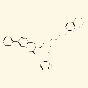 O=C(O)[C@H](CCN(CCCCc1ccc2c(n1)NCCC2)CCOc1ccccn1)Nc1ccc(-c2ccccc2)cn1